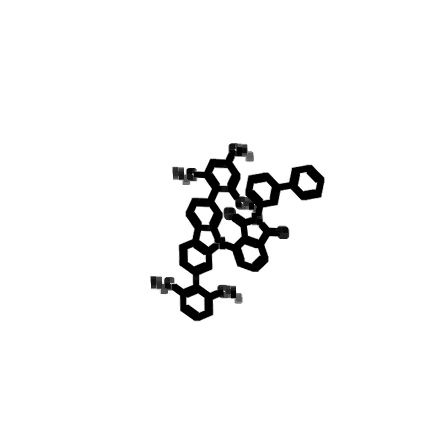 Cc1cc(C)c(-c2ccc3c4ccc(-c5c(C)cccc5C)cc4n(-c4cccc5c4C(=O)N(c4cccc(-c6ccccc6)c4)C5=O)c3c2)c(C)c1